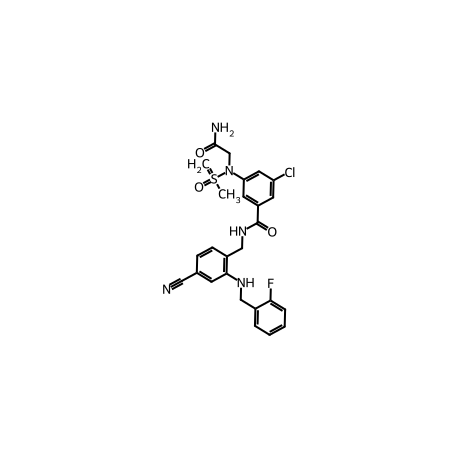 C=S(C)(=O)N(CC(N)=O)c1cc(Cl)cc(C(=O)NCc2ccc(C#N)cc2NCc2ccccc2F)c1